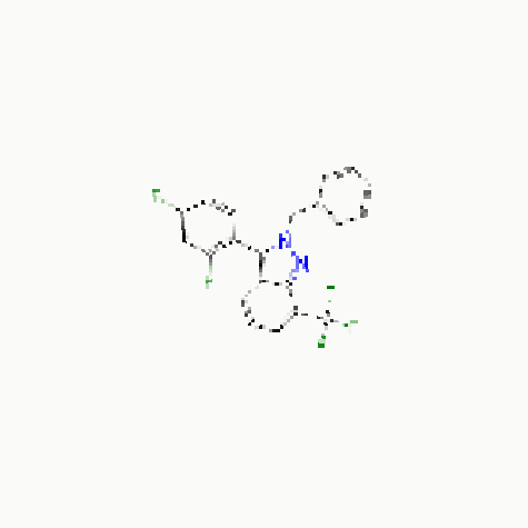 Fc1ccc(-c2c3cccc(C(F)(F)F)c3nn2Cc2ccccc2)c(F)c1